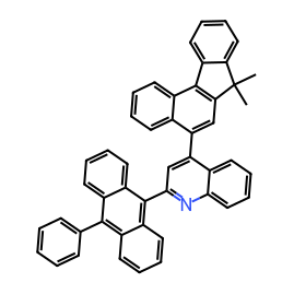 CC1(C)c2ccccc2-c2c1cc(-c1cc(-c3c4ccccc4c(-c4ccccc4)c4ccccc34)nc3ccccc13)c1ccccc21